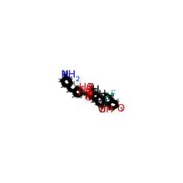 C[C@]12C=CC(=O)C=C1[C@@H](F)C[C@H]1[C@@H]3C[C@H]4O[C@@H](c5ccc(Cc6ccc(N)cc6)cc5)O[C@@]4(C(O)CO)[C@@]3(C)C[C@H](O)[C@@]12F